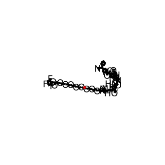 COc1cnc(-n2cnc(C(=O)N[C@H]3C[C@@H](CO)N(CCCc4cn(CCOCCOCCOCCOCCOCCOCCOCCOCCC(=O)Oc5c(F)cc(F)cc5F)nn4)C3)n2)c2[nH]cc(C(=O)C(=O)N3CCC(=C(C#N)c4ccccc4)CC3)c12